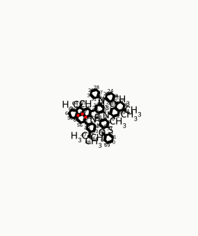 Cc1cc2c(cc1N1c3cc4c(cc3B3c5c(cc(N(c6ccccc6)c6ccccc6)cc51)-c1cc5c(cc1N3c1ccc(C(C)(C)C)cc1-c1ccccc1)-c1ccccc1C5(C)C)Oc1ccccc1S4)C(C)(C)CCC2(C)C